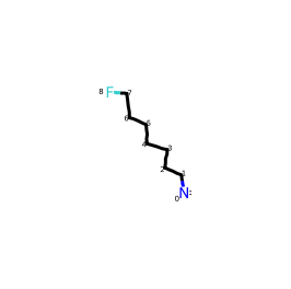 [N]CCCCCCCF